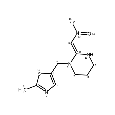 Cc1ncc(CN2CCCNC2=C[N+](=O)[O-])s1